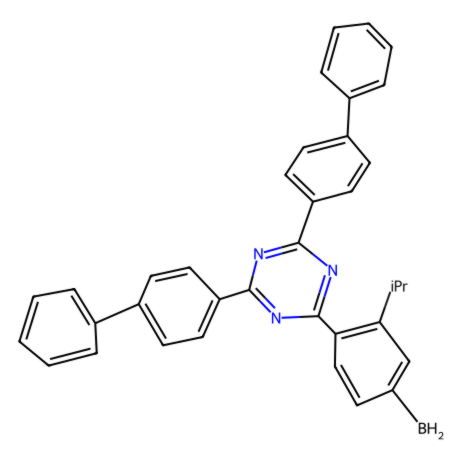 Bc1ccc(-c2nc(-c3ccc(-c4ccccc4)cc3)nc(-c3ccc(-c4ccccc4)cc3)n2)c(C(C)C)c1